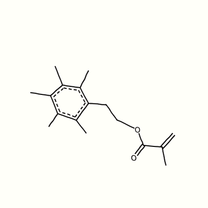 C=C(C)C(=O)OCCc1c(C)c(C)c(C)c(C)c1C